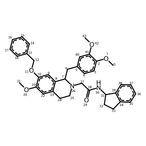 COc1ccc(CC2c3cc(OCc4ccccc4)c(OC)cc3CCN2CC(=O)NC2CCc3ccccc32)cc1OC